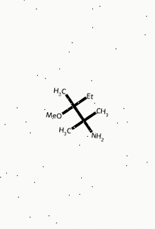 CCC(C)(OC)C(C)(C)N